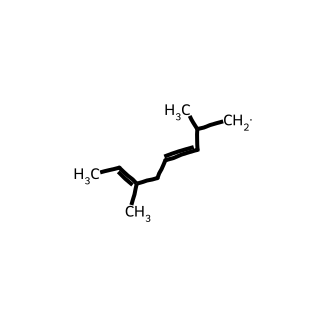 [CH2]C(C)C=CCC(C)=CC